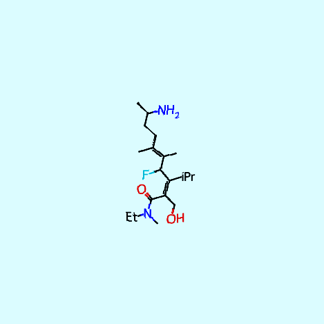 CCN(C)C(=O)/C(CO)=C(/C(C)C)C(F)/C(C)=C(\C)CC[C@@H](C)N